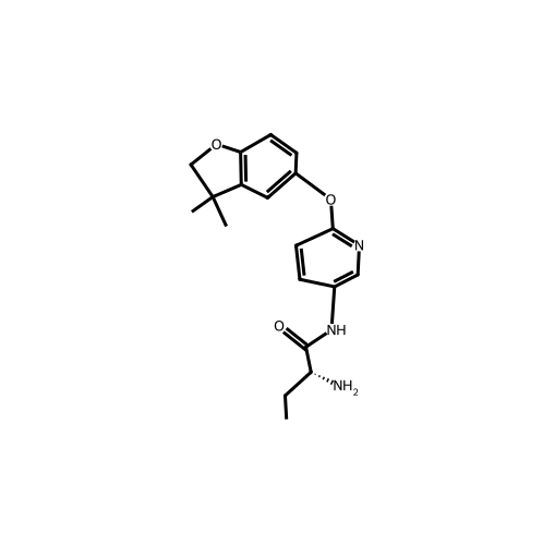 CC[C@@H](N)C(=O)Nc1ccc(Oc2ccc3c(c2)C(C)(C)CO3)nc1